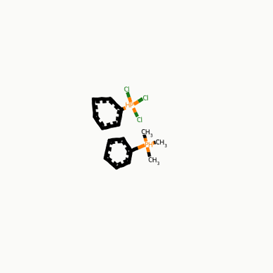 C[PH](C)(C)c1ccccc1.Cl[PH](Cl)(Cl)c1ccccc1